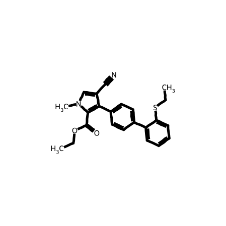 CCOC(=O)c1c(-c2ccc(-c3ccccc3SCC)cc2)c(C#N)cn1C